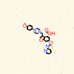 COc1ccc(N2CCN(Cc3coc4cc(Oc5nc6ncccc6s5)ccc34)CC2)cc1.O=CO